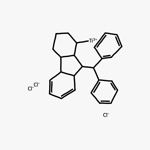 [Cl-].[Cl-].[Cl-].[Ti+3][CH]1CCCC2C3C=CC=CC3C(C(c3ccccc3)c3ccccc3)C12